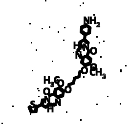 COc1cc2c(cc1OCCCCCOc1cc3c(cc1OC)C(=O)N1C=C(c4cccs4)C[C@H]1C=N3)N=C[C@@H]1CC(c3ccc(N)cc3)=CN1C2=O